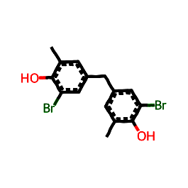 Cc1cc(Cc2cc(C)c(O)c(Br)c2)cc(Br)c1O